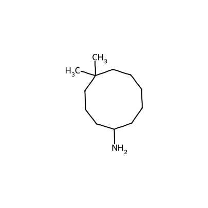 CC1(C)CCCCCC(N)CCC1